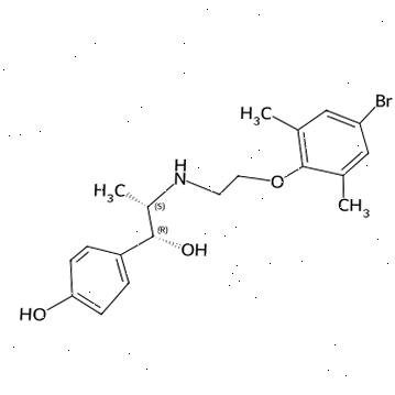 Cc1cc(Br)cc(C)c1OCCN[C@@H](C)[C@H](O)c1ccc(O)cc1